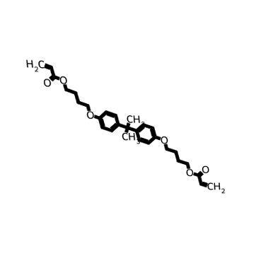 C=CC(=O)OCCCCOc1ccc(C(C)(C)c2ccc(OCCCCOC(=O)C=C)cc2)cc1